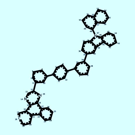 c1cc(-c2ccc(-c3cccc(-c4cnc5c6ccccc6c6ccccc6c5n4)c3)cc2)cc(-c2ccc3c(c2)c2ccccc2n3-c2cccc3ccccc23)c1